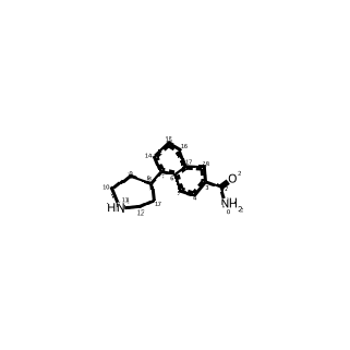 NC(=O)c1ccc2c(C3CCNCC3)cccc2c1